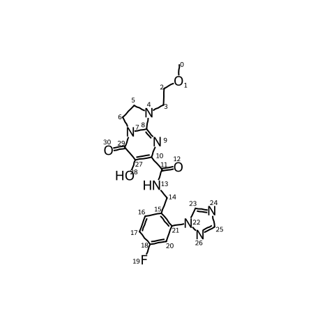 COCCN1CCn2c1nc(C(=O)NCc1ccc(F)cc1-n1cncn1)c(O)c2=O